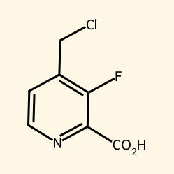 O=C(O)c1nccc(CCl)c1F